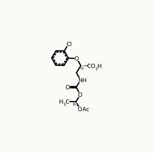 CC(=O)O[C@@H](C)OC(=O)NC[C@H](Oc1ccccc1Cl)C(=O)O